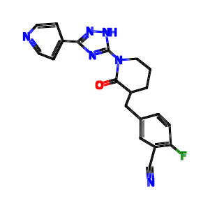 N#Cc1cc(CC2CCCN(c3nc(-c4ccncc4)n[nH]3)C2=O)ccc1F